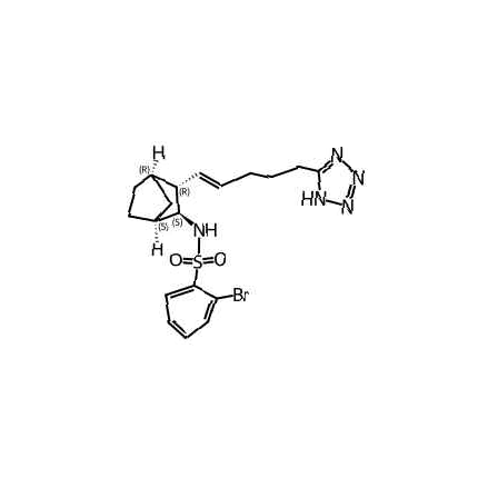 O=S(=O)(N[C@H]1[C@H]2CC[C@H](C2)[C@@H]1C=CCCCc1nnn[nH]1)c1ccccc1Br